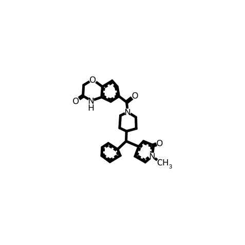 Cn1ccc(C(c2ccccc2)C2CCN(C(=O)c3ccc4c(c3)NC(=O)CO4)CC2)cc1=O